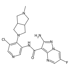 CN1CC2CN(c3c(Cl)cncc3NC(=O)c3c(N)nn4cc(F)cnc34)CC2C1